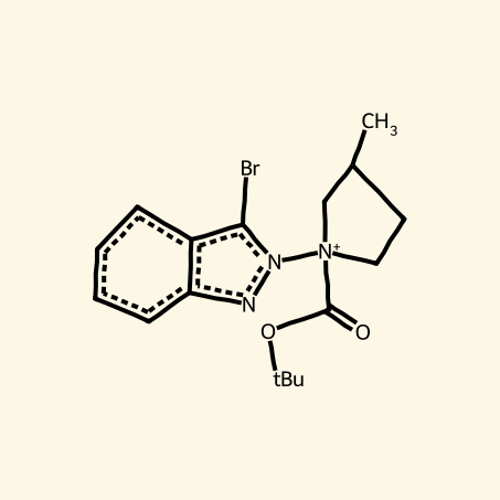 CC1CC[N+](C(=O)OC(C)(C)C)(n2nc3ccccc3c2Br)C1